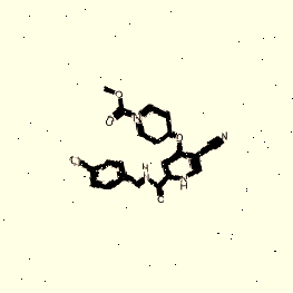 COC(=O)N1CCC(OC2=CC(C(=O)NCc3ccc(Cl)cc3)NC=C2C#N)CC1